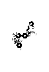 COc1ncc(-c2ccc3nc(N)n(CCCN4CCCC4=O)c3c2)cc1NS(=O)(=O)c1ccc(F)cc1F